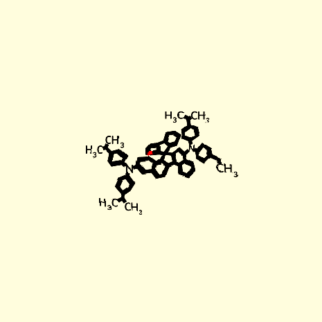 CCc1ccc(N(c2ccc(C(C)C)cc2)c2cc3c(c4ccccc24)-c2ccc4cc(N(c5ccc(C(C)C)cc5)c5ccc(C(C)C)cc5)ccc4c2C32c3ccccc3-c3ccccc32)cc1